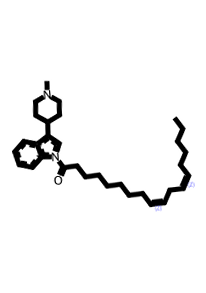 CCCCC/C=C\C/C=C\CCCCCCCC(=O)n1cc(C2CCN(C)CC2)c2ccccc21